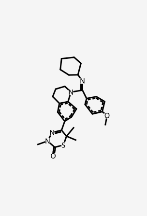 COc1ccc(/C(=N/C2CCCCC2)N2CCCc3cc(C4=NN(C)C(=O)SC4(C)C)ccc32)cc1